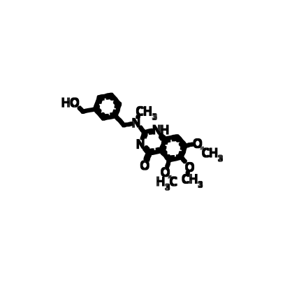 COc1cc2[nH]c(N(C)Cc3cccc(CO)c3)nc(=O)c2c(OC)c1OC